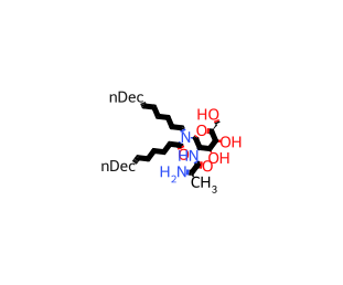 CCCCCCCCCCCCCCCCN(C(=O)CCCCCCCCCCCCCCC)[C@@H]1O[C@H](CO)[C@@H](O)[C@H](O)[C@H]1NC(=O)[C@H](C)N